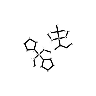 CCC(C)[Si](OC)(OC)C(C)(C)C.CO[Si](OC)(C1CCCC1)C1CCCC1